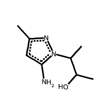 Cc1cc(N)n(C(C)C(C)O)n1